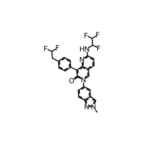 Cn1cc2cc(-n3cc4ccc(NC(F)C(F)F)nc4c(-c4ccc(CC(F)F)cc4)c3=O)ccc2n1